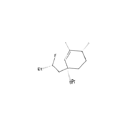 CCC[C@]1(C[C@@H](F)CC)C=C(C)[C@H](C)CC1